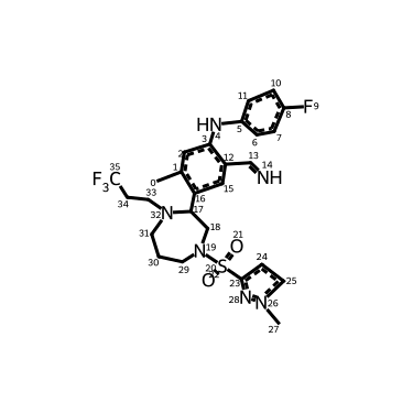 Cc1cc(Nc2ccc(F)cc2)c(C=N)cc1C1CN(S(=O)(=O)c2ccn(C)n2)CCCN1CCC(F)(F)F